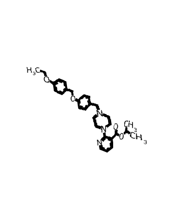 CCOc1ccc(COc2ccc(CN3CCN(c4ncccc4C(=O)OC(C)C)CC3)cc2)cc1